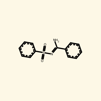 NC(=NS(=O)(=O)c1ccccc1)c1ccccc1